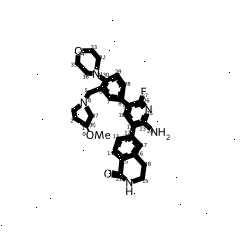 CO[C@@H]1CCN(Cc2cc(-c3cc(-c4ccc5c(c4)CCNC5=O)c(N)nc3F)ccc2N2CCOCC2)C1